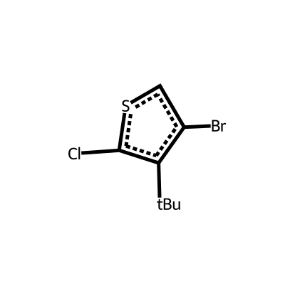 CC(C)(C)c1c(Br)csc1Cl